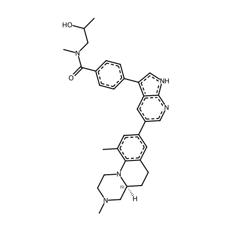 Cc1cc(-c2cnc3[nH]cc(-c4ccc(C(=O)N(C)CC(C)O)cc4)c3c2)cc2c1N1CCN(C)C[C@@H]1CC2